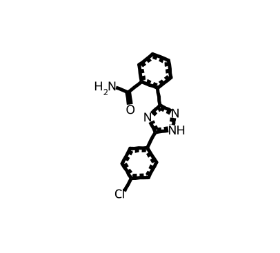 NC(=O)c1ccccc1-c1n[nH]c(-c2ccc(Cl)cc2)n1